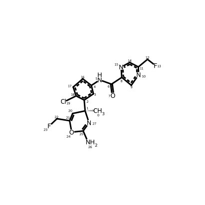 C[C@@]1(c2cc(NC(=O)c3cnc(CF)cn3)ccc2Cl)C=C(CF)OC(N)=N1